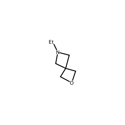 [CH2]CN1CC2(COC2)C1